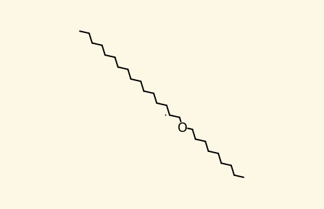 CCCCCCCCCCCCCC[CH]COCCCCCCCCC